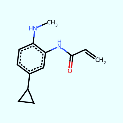 C=CC(=O)Nc1cc(C2CC2)ccc1NC